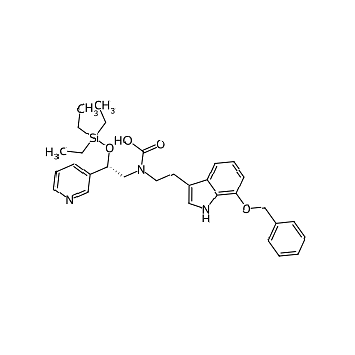 CC[Si](CC)(CC)O[C@H](CN(CCc1c[nH]c2c(OCc3ccccc3)cccc12)C(=O)O)c1cccnc1